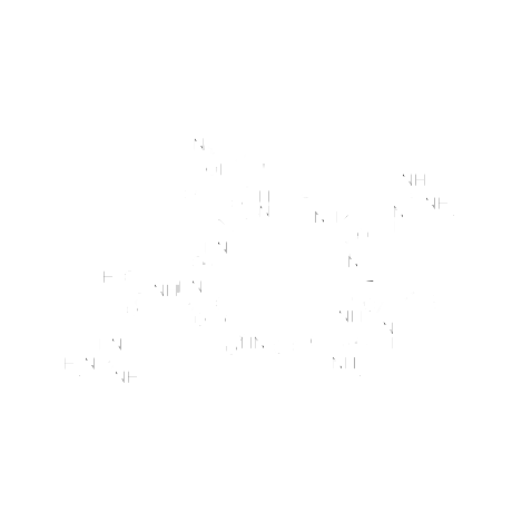 CC(=O)N[C@@H](CCCNC(=N)N)C(=O)N[C@H]1CCC(=O)NCCC[C@@H](C(N)=O)NC(=O)[C@H](Cc2c[nH]c3ccccc23)NC(=O)[C@H](CCCNC(=N)N)NC(=O)[C@@H](Cc2ccc(C#N)cc2)NC(=O)[C@H](CCC(=O)O)NC1=O